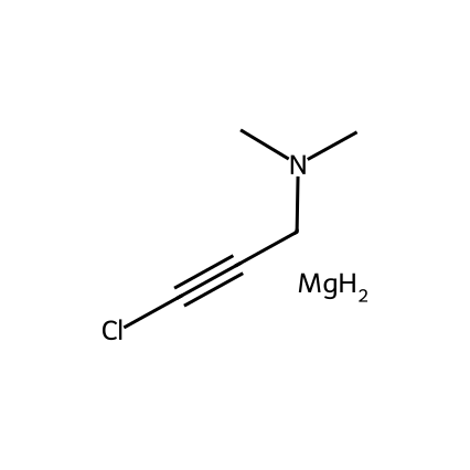 CN(C)CC#CCl.[MgH2]